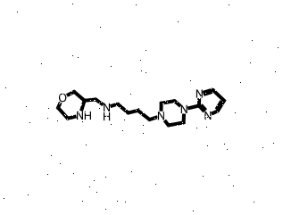 c1cnc(N2CCN(CCCCNCC3COCCN3)CC2)nc1